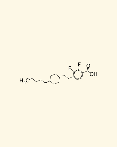 CCCCC[C@H]1CC[C@H](CCc2ccc(C(=O)O)c(F)c2F)CC1